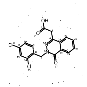 O=C(O)Cc1nn(Cc2ccc(Cl)cc2Cl)c(=O)c2ccccc12